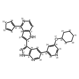 c1cc2[nH]c(-c3n[nH]c4ncc(-c5cncc(OC6CCCCC6)c5)cc34)cc2c(-c2ccsc2)n1